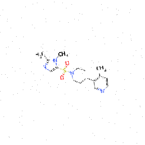 Cc1ccncc1C1CCN(S(=O)(=O)c2cnc(C)n2C)CC1